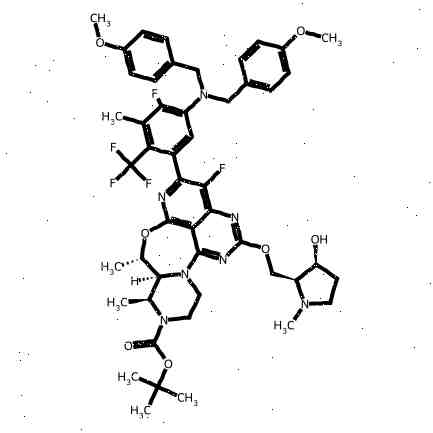 COc1ccc(CN(Cc2ccc(OC)cc2)c2cc(-c3nc4c5c(nc(OC[C@H]6[C@@H](O)CCN6C)nc5c3F)N3CCN(C(=O)OC(C)(C)C)[C@@H](C)[C@H]3[C@H](C)O4)c(C(F)(F)F)c(C)c2F)cc1